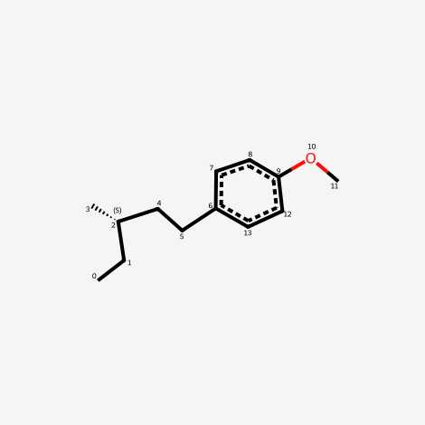 CC[C@H](C)CCc1ccc(OC)cc1